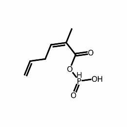 C=CCC=C(C)C(=O)O[PH](=O)O